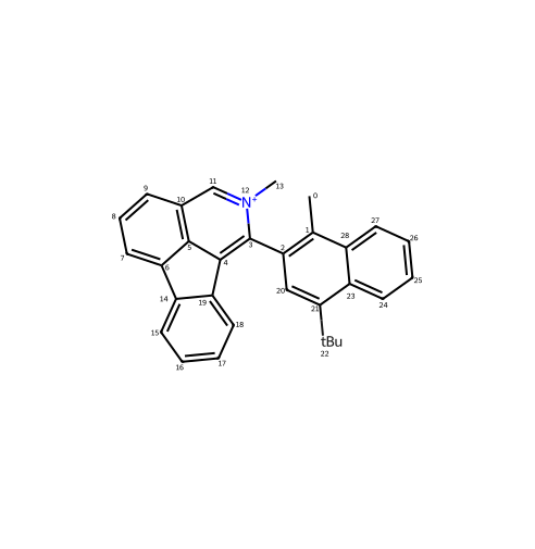 Cc1c(-c2c3c4c(cccc4c[n+]2C)-c2ccccc2-3)cc(C(C)(C)C)c2ccccc12